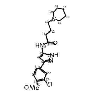 COc1ccc(-c2cc(NC(=O)CCCN3CCCCC3)[nH]n2)cc1Cl